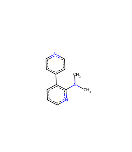 CN(C)c1ncccc1-c1ccncc1